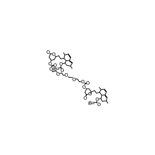 CCC(C)C(=O)OC1CC(C)C=C2C=CC(C)C(CCC3CC(OC(=O)OCCOCCOCCOCCOC(=O)OC4CC(=O)OC(CCC5C(C)C=CC6=CC(C)CC(OC(=O)C(C)CC)C65)C4)CC(=O)O3)C21